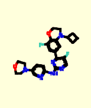 Fc1cnc(Nc2ccc(N3CCOCC3)cn2)nc1-c1cc(F)c2c(c1)N(C1CCC1)CCO2